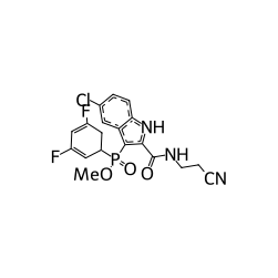 COP(=O)(c1c(C(=O)NCCC#N)[nH]c2ccc(Cl)cc12)C1C=C(F)C=C(F)C1